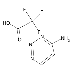 Nc1ccnnn1.O=C(O)C(F)(F)F